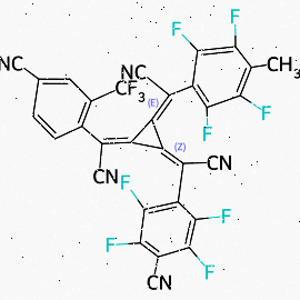 Cc1c(F)c(F)c(/C(C#N)=C2/C(=C(C#N)c3ccc(C#N)cc3C(F)(F)F)/C2=C(/C#N)c2c(F)c(F)c(C#N)c(F)c2F)c(F)c1F